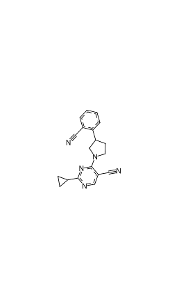 N#Cc1ccccc1C1CCN(c2nc(C3CC3)ncc2C#N)C1